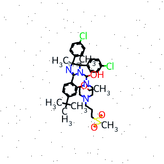 CCOc1cc(C(C)(C)C)ccc1C1=N[C@@](C)(c2ccc(Cl)cc2)[C@@](C)(c2ccc(Cl)cc2)N1C(O)N1CCN(CCCS(C)(=O)=O)CC1